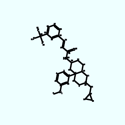 COc1cccc(C23CCN(CC4CC4)CC2CCC(NC(=O)/C=C/c2cccc(C(F)(F)F)c2)C3)c1